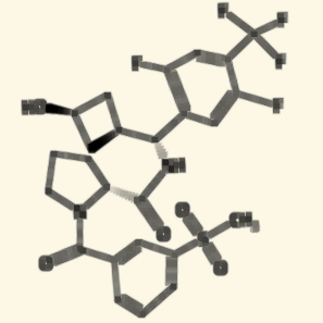 CS(=O)(=O)c1cccc(C(=O)N2CCC[C@@H]2C(=O)N[C@@H](c2cc(F)c(C(F)(F)F)cc2F)[C@H]2C[C@@H](O)C2)c1